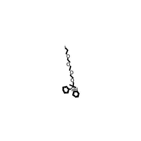 CC(C)(COCCOCCOCCOCCI)[SiH](c1ccccc1)c1ccccc1